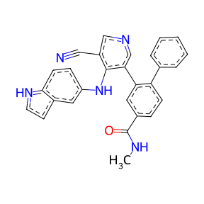 CNC(=O)c1ccc(-c2ccccc2)c(-c2cncc(C#N)c2Nc2ccc3[nH]ccc3c2)c1